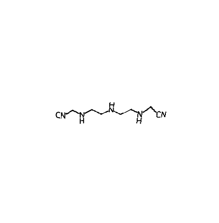 [C-]#[N+]CNCCNCCNCC#N